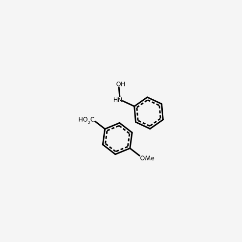 COc1ccc(C(=O)O)cc1.ONc1ccccc1